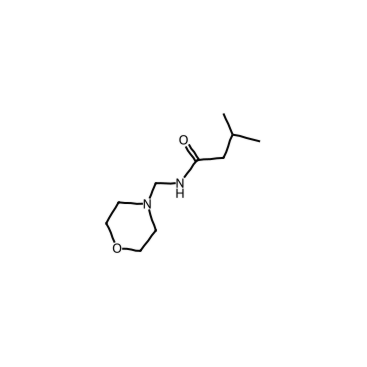 CC(C)CC(=O)NCN1CCOCC1